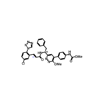 COC(=O)Nc1ccc(-c2cc([C@H](Cc3ccccc3)NC(=O)/C=C/c3cc(Cl)ccc3-n3cnnn3)nnc2OC)cc1